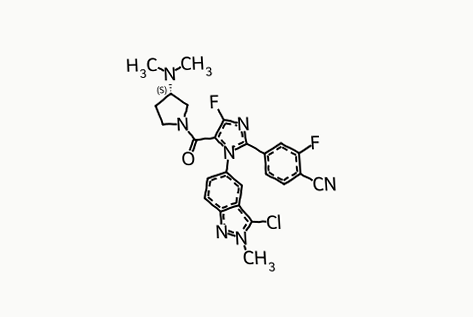 CN(C)[C@H]1CCN(C(=O)c2c(F)nc(-c3ccc(C#N)c(F)c3)n2-c2ccc3nn(C)c(Cl)c3c2)C1